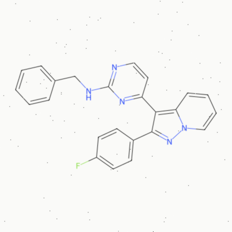 Fc1ccc(-c2nn3ccccc3c2-c2ccnc(NCc3ccccc3)n2)cc1